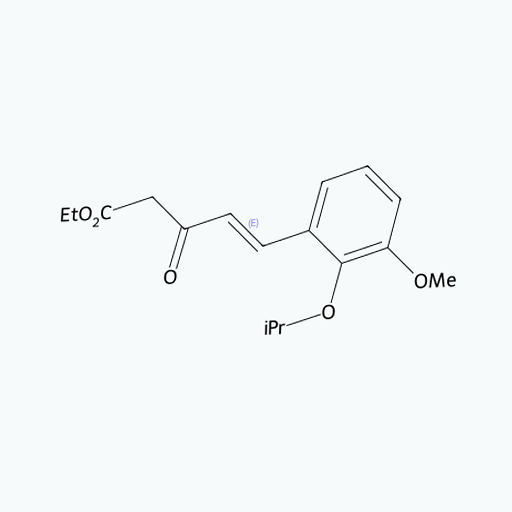 CCOC(=O)CC(=O)/C=C/c1cccc(OC)c1OC(C)C